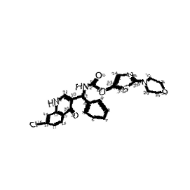 O=C(NC(c1ccccc1)c1c[nH]c2cc(Cl)ccc2c1=O)Oc1cnc(N2CCOCC2)s1